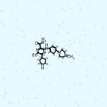 CCc1nc(C(N)=O)c(NC2=CCC(N3CCN(C)CC3)C=C2)nc1C1CCNCC1